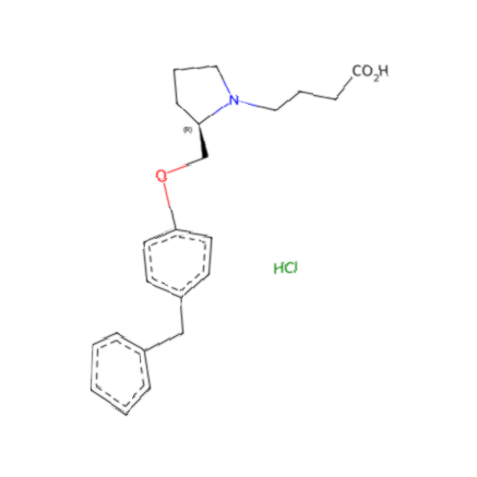 Cl.O=C(O)CCCN1CCC[C@@H]1COc1ccc(Cc2ccccc2)cc1